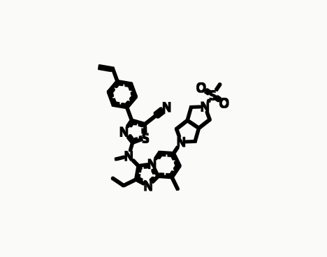 C=Cc1ccc(-c2nc(N(C)c3c(CC)nc4c(C)cc(N5CC6CN(S(C)(=O)=O)CC6C5)cn34)sc2C#N)cc1